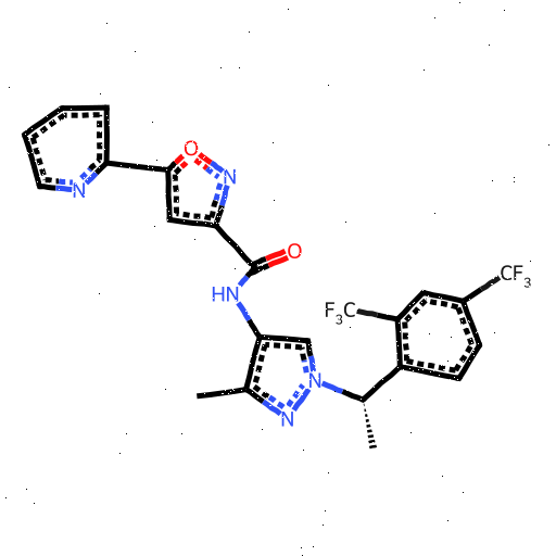 Cc1nn([C@@H](C)c2ccc(C(F)(F)F)cc2C(F)(F)F)cc1NC(=O)c1cc(-c2ccccn2)on1